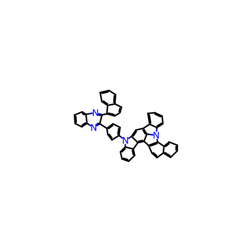 c1ccc2c(-c3nc4ccccc4nc3-c3ccc(-n4c5ccccc5c5c6c7ccc8ccccc8c7n7c8ccccc8c(cc54)c67)cc3)cccc2c1